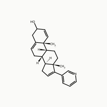 C[C@]12C=CC(O)CC1=CC[C@@H]1[C@H]2CC[C@]2(C)C(c3cccnc3)=CC[C@@H]12